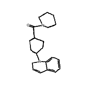 O=C(C1CCC(N2CC=Cc3ccccc32)CC1)N1CCCCC1